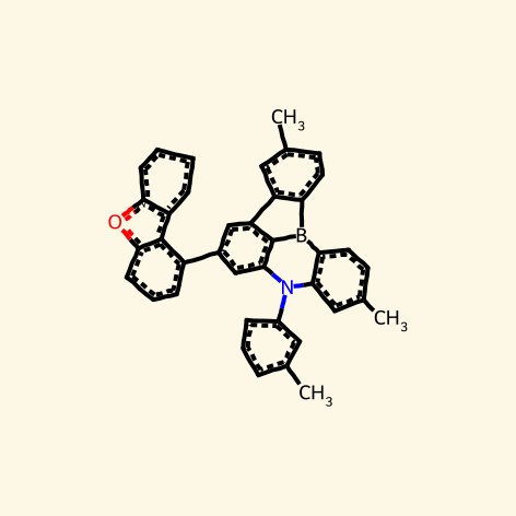 Cc1cccc(N2c3cc(C)ccc3B3c4ccc(C)cc4-c4cc(-c5cccc6oc7ccccc7c56)cc2c43)c1